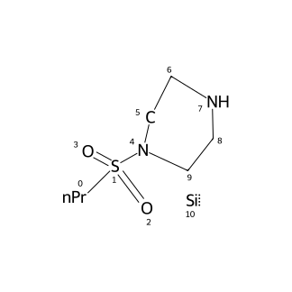 CCCS(=O)(=O)N1CCNCC1.[Si]